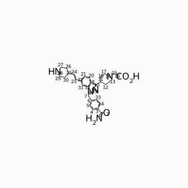 NC(=O)c1ccc(Cn2nc(C3CCN(CC(=O)O)CC3)c3ccc(C=CC4CCNCC4)cc32)cc1